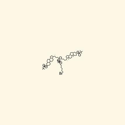 C[C@H](CCCOC(CC[C@@H](C)C1CCC2C3CCC4C[C@H](OC(=O)C(C)(C)C)CC[C@]4(C)C3CC[C@@]21C)O[Si](C)(C)OCCCCCCBr)C1CCC2C3CCC4C[C@H](OC(=O)C(C)(C)C)CC[C@]4(C)C3CC[C@@]21C